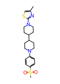 Cc1csc(N2CCC(C3CCN(c4ccc(S(C)(=O)=O)cc4)CC3)CC2)n1